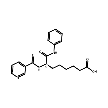 O=C(O)CCCCC[C@@H](NC(=O)c1cccnc1)C(=O)Nc1ccccc1